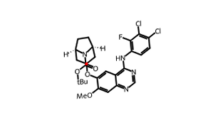 COc1cc2ncnc(Nc3ccc(Cl)c(Cl)c3F)c2cc1OC1C[C@H]2CC[C@@H](C1)N2C(=O)OC(C)(C)C